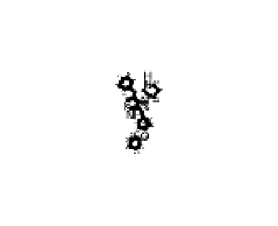 Nc1ncc(Cc2ccccc2)c2c1c(-c1ccc(Oc3ccccc3)cc1)nn2C1CCCNC1